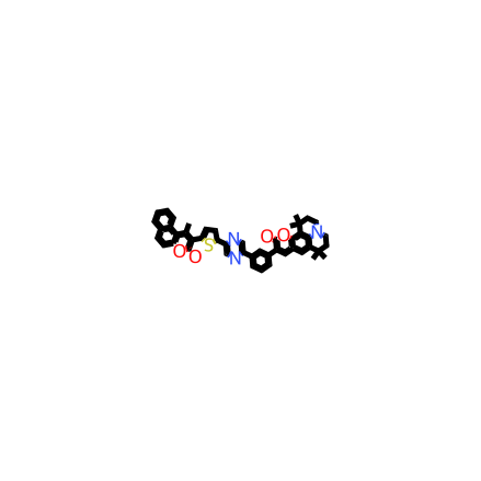 Cc1c(C2=CCC(c3cnc(-c4cccc(-c5cc6cc7c8c(c6oc5=O)C(C)(C)CCN8CCC7(C)C)c4)cn3)S2)c(=O)oc2ccc3ccccc3c12